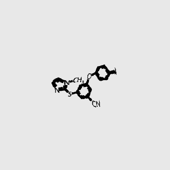 Cn1ccnc1Sc1cc(C#N)cc(Oc2ccc(I)cc2)c1